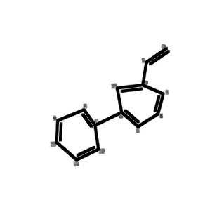 C=Cc1cccc(-c2ccccc2)c1